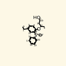 CCc1ccc(OC(C)CCO)c([S+]([O-])c2ccccc2)c1